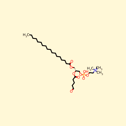 CCCCCCCCCCCCCCCCCC(=O)OC[C@H](COP(=O)(O)OCC[N+](C)(C)C)OC(=O)CCCC=O